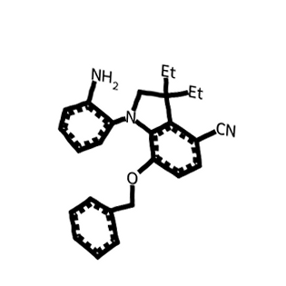 CCC1(CC)CN(c2ccccc2N)c2c(OCc3ccccc3)ccc(C#N)c21